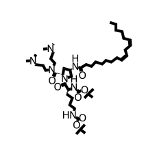 CCCCC/C=C\C/C=C\CCCCCCCC(=O)N[C@H]1C[C@@H](C(=O)N(CCCN(C)C)CCCN(C)C)N(C(=O)[C@@H](CCCCNC(=O)OC(C)(C)C)NC(=O)OC(C)(C)C)C1